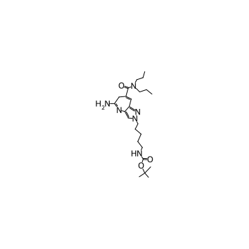 CCCN(CCC)C(=O)C1=Cc2nn(CCCCCNC(=O)OC(C)(C)C)cc2N=C(N)C1